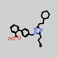 C#CCCc1nc(CCC2CCCCC2)nn1Cc1ccc(-c2ccccc2C(=O)O)cc1